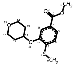 COC(=O)c1ccc(SC)c(OC2CCOCC2)c1